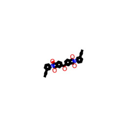 CC#Cc1cccc(N2C(=O)c3ccc(C(=O)c4ccc5c(c4)C(=O)N(c4cccc(C#CC)c4)C5=O)cc3C2=O)c1